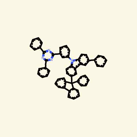 c1ccc(-c2ccc3c(c2)c2cc(C4(c5ccccc5)c5ccccc5-c5ccccc54)ccc2n3-c2cccc(-c3nc(-c4ccccc4)nc(-c4ccccc4)n3)c2)cc1